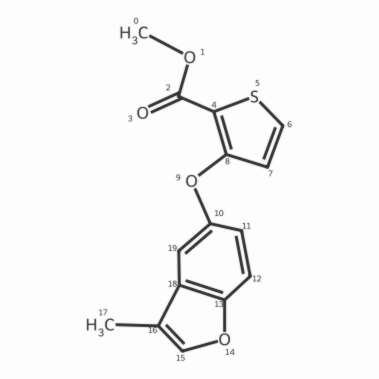 COC(=O)c1sccc1Oc1ccc2occ(C)c2c1